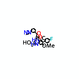 COc1cc(NC(=O)O)c(NC(=O)CC(=O)c2cccc(-n3ccnc3)c2)cc1-c1ccc(F)cc1C